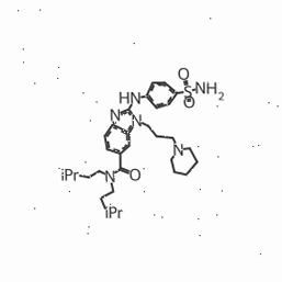 CC(C)CCN(CCC(C)C)C(=O)c1ccc2nc(Nc3ccc(S(N)(=O)=O)cc3)n(CCCN3CCCCC3)c2c1